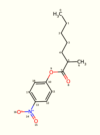 CCCCCC(C)C(=O)Oc1ccc([N+](=O)[O-])cc1